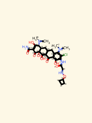 CN(C)c1c(Cl)c(NC(=O)CNOC2CCC2)c(O)c2c1CC1CC3[C@H](N(C)C)C(O)=C(C(N)=O)C(=O)[C@@]3(O)C(O)=C1C2=O